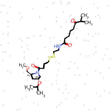 COC[C@@H]1C[C@@H](OC(C)C)CN1C(=O)CCCSSCCNC(=O)CCCCC(=O)C(C)C